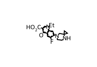 CCn1cc(C(=O)O)c(=O)c2cc(F)c(N3CCNC4(CC4)C3)cc21